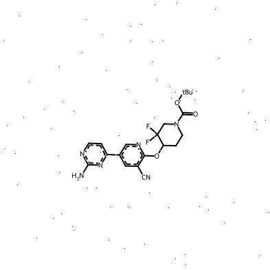 CC(C)(C)OC(=O)N1CCC(Oc2ncc(-c3ccnc(N)n3)cc2C#N)C(F)(F)C1